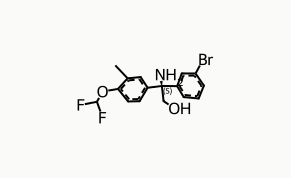 Cc1cc([C@@](N)(CO)c2cccc(Br)c2)ccc1OC(F)F